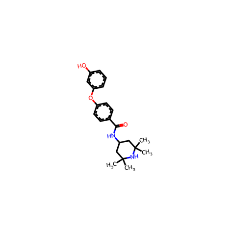 CC1(C)CC(NC(=O)c2ccc(Oc3cccc(O)c3)cc2)CC(C)(C)N1